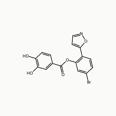 O=C(Oc1cc(Br)ccc1-c1ccno1)c1ccc(O)c(O)c1